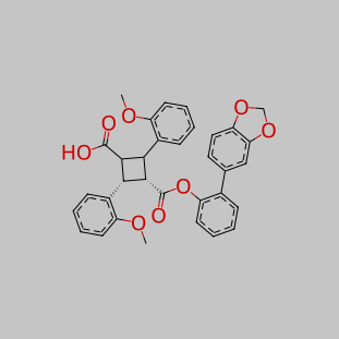 COc1ccccc1C1C(C(=O)O)[C@@H](c2ccccc2OC)[C@H]1C(=O)Oc1ccccc1-c1ccc2c(c1)OCO2